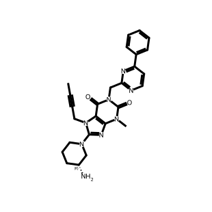 CC#CCn1c(N2CCC[C@@H](N)C2)nc2c1c(=O)n(Cc1nccc(-c3ccccc3)n1)c(=O)n2C